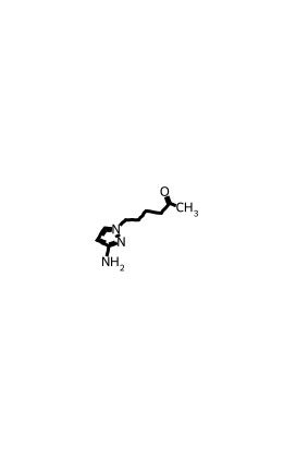 CC(=O)CCCCn1ccc(N)n1